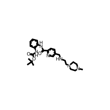 CN1CCN(CCNCc2ccc(C(=O)Nc3ccccc3NC(=O)OC(C)(C)C)nc2)CC1